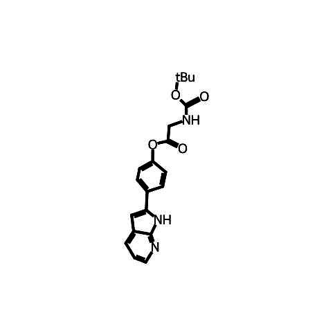 CC(C)(C)OC(=O)NCC(=O)Oc1ccc(-c2cc3cccnc3[nH]2)cc1